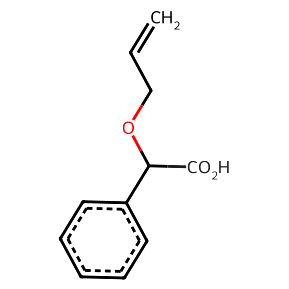 C=CCOC(C(=O)O)c1ccccc1